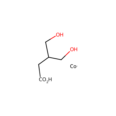 O=C(O)CC(CO)CO.[Co]